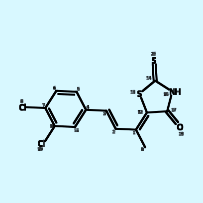 CC(C=Cc1ccc(Cl)c(Cl)c1)=C1SC(=S)NC1=O